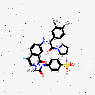 COC(=O)Nc1ccc(S(=O)(=O)I)c([C@H]2CCCN2C(=O)[C@H](Nc2ccc3c(F)c[nH]c(=O)c3c2)c2ccc(OC)c(OC)c2)c1